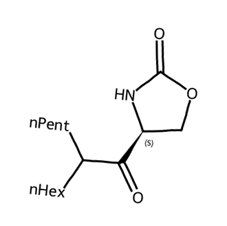 CCCCCCC(CCCCC)C(=O)[C@@H]1COC(=O)N1